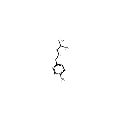 NC(CSSc1ccc(C(=O)O)cn1)C(=O)O